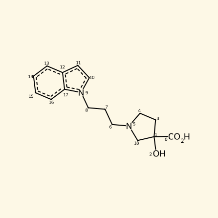 O=C(O)C1(O)CCN(CCCn2ccc3ccccc32)C1